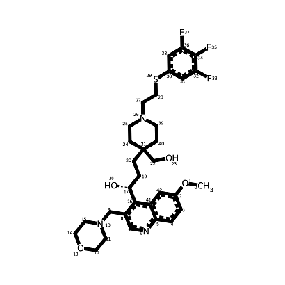 COc1ccc2ncc(CN3CCOCC3)c([C@H](O)CCC3(CO)CCN(CCSc4cc(F)c(F)c(F)c4)CC3)c2c1